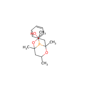 CC1CC2(C)OC(C)(O)CC(C)(O1)P2c1ccccc1